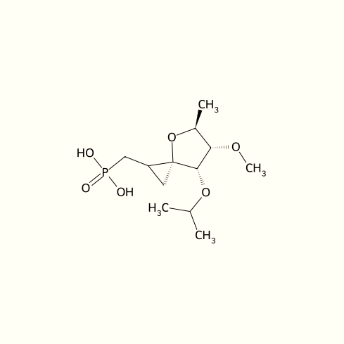 CO[C@H]1[C@H](C)O[C@@]2(CC2CP(=O)(O)O)[C@H]1OC(C)C